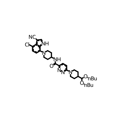 CCCCOC(OCCCC)C1CCN(c2ccc(C(=O)NC3CCN(c4ccc(Cl)c5c(C#N)c[nH]c45)CC3)nn2)CC1